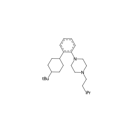 CC(C)CCN1CCN(c2ccccc2C2CCC(C(C)(C)C)CC2)CC1